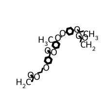 C=CC(=O)OCCCOc1ccc(C(=O)Oc2ccc(OCOc3ccc(OC(CC)OC(=O)C=C)cc3)c(C)c2)cc1